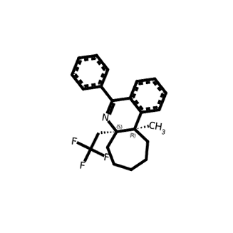 C[C@]12CCCCC[C@@]1(CC(F)(F)F)N=C(c1ccccc1)c1ccccc12